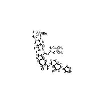 CC(C)(C)[Si](C)(C)OC1CO[C@H]2[C@@H]1OC[C@H]2Oc1nc2cc(Cl)c(N[C@H]3CCc4cc(-c5cn[nH]c5)cc(F)c43)nc2n1COCC[Si](C)(C)C